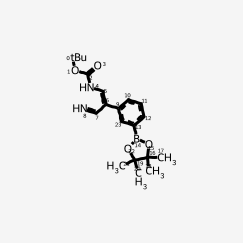 CC(C)(C)OC(=O)N/C=C(\C=N)c1cccc(B2OC(C)(C)C(C)(C)O2)c1